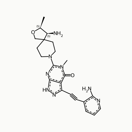 C[C@@H]1OCC2(CCN(c3nc4[nH]nc(C#Cc5cccnc5N)c4c(=O)n3C)CC2)[C@@H]1N